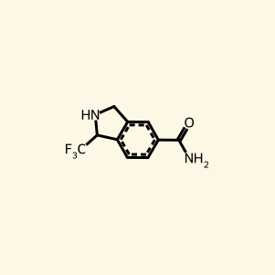 NC(=O)c1ccc2c(c1)CNC2C(F)(F)F